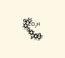 O=C(O)[C@@H]1CCCN1C(=O)c1cccc(COc2ccc(-c3cc4c(cc3F)C=CCO4)cc2)c1